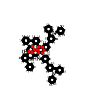 CC(C)(C)c1c(Cc2c(-c3ccccc3)cccc2-c2ccccc2)c2c3c(c1Cc1c(-c4ccccc4)cccc1-c1ccccc1)Nc1cc(-c4ccc5c(c4)c4ccccc4n5-c4ccccc4)ccc1B3c1ccc(-c3ccc4c(c3)c3ccccc3n4-c3ccccc3)cc1N2